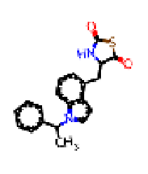 CC(c1ccccc1)n1ccc2c(CC3NC(=O)SC3=O)cccc21